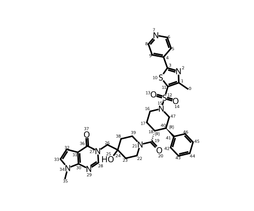 Cc1nc(-c2ccncc2)sc1S(=O)(=O)N1CC[C@@H](C(=O)N2CCC(O)(Cn3cnc4c(ccn4C)c3=O)CC2)[C@H](c2ccccc2)C1